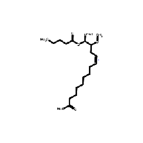 CCCCCC(OC(=O)CCCC(=O)O)C(C/C=C\CCCCCCCC(=O)NC)ON